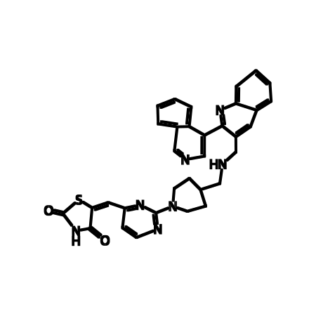 O=C1NC(=O)/C(=C\c2ccnc(N3CCC(CNCc4cc5ccccc5nc4-c4cncc5ccccc45)CC3)n2)S1